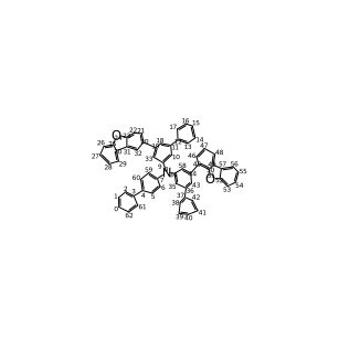 c1ccc(-c2ccc(N(c3cc(-c4ccccc4)cc(-c4ccc5oc6ccccc6c5c4)c3)c3cc(-c4ccccc4)cc(-c4cccc5c4oc4ccccc45)c3)cc2)cc1